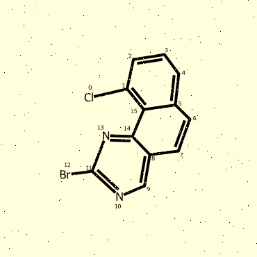 Clc1cccc2ccc3cnc(Br)nc3c12